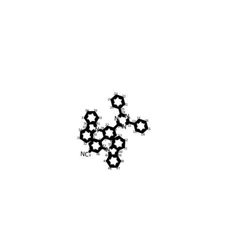 N#Cc1ccc(-c2ccc(-c3nc(-c4ccccc4)nc(-c4ccccc4)n3)cc2-n2c3ccccc3c3ccccc32)c(-n2c3ccccc3c3ccccc32)c1